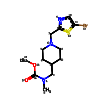 CN(CC1CCN(Cc2ncc(Br)s2)CC1)C(=O)OC(C)(C)C